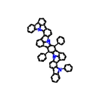 c1ccc(-c2c3c4cccc5c6c(ccc7c8cccc9c%10ccccc%10n(c98)c76)n(c3c(-c3ccccc3)c3c6cccc7c8c9c(ccc8n(c23)c67)c2ccccc2n9-c2ccccc2)c45)cc1